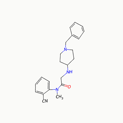 CN(C(=O)CNC1CCN(Cc2ccccc2)CC1)c1ccccc1C#N